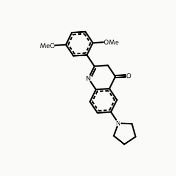 COc1ccc(OC)c(C2=Nc3ccc(N4CCCC4)cc3C(=O)C2)c1